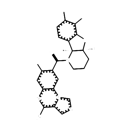 Nc1nc2cc(F)c(C(=O)N3CCC[C@@H]4Oc5c(ccc(Cl)c5F)[C@@H]43)cc2n2cncc12